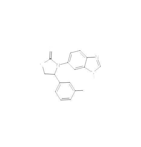 O=C1OCC(c2cccc(Cl)c2)N1c1ccc2nc[nH]c2c1